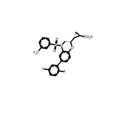 O=C(O)C1C[C@H]1[C@H]1CN(S(=O)(=O)c2cccc(C(F)(F)F)c2)c2cc(-c3cc(F)ccc3F)ccc2O1